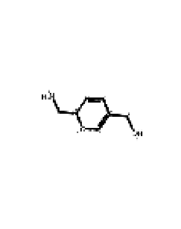 NCC1C=CC(CO)=CO1